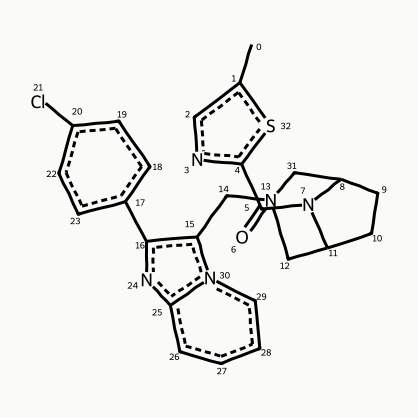 Cc1cnc(C(=O)N2C3CCC2CN(Cc2c(-c4ccc(Cl)cc4)nc4ccccn24)C3)s1